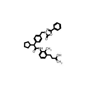 C=C(O)CCc1cccc(NC(=O)C(c2ccc(Cn3nc(-c4ccccc4)oc3=O)cc2)C2CCCC2)c1C